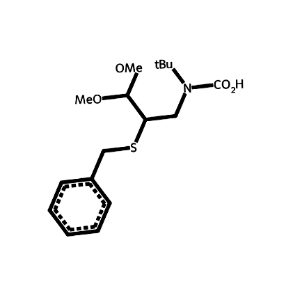 COC(OC)C(CN(C(=O)O)C(C)(C)C)SCc1ccccc1